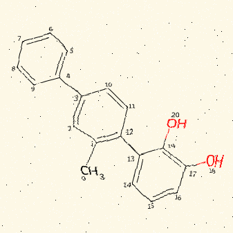 Cc1cc(-c2ccccc2)ccc1-c1cccc(O)c1O